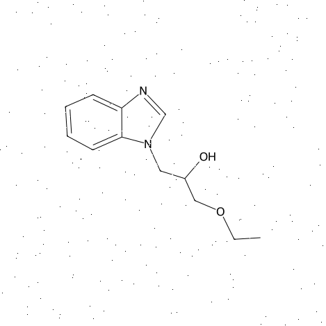 CCOCC(O)Cn1cnc2ccccc21